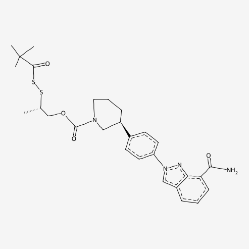 C[C@@H](COC(=O)N1CCC[C@@H](c2ccc(-n3cc4cccc(C(N)=O)c4n3)cc2)C1)SSC(=O)C(C)(C)C